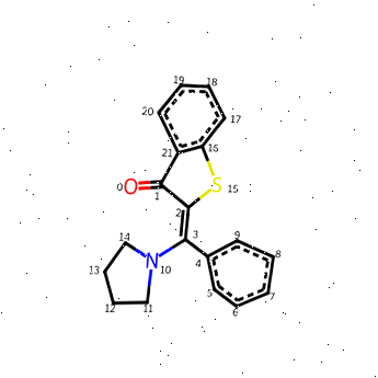 O=C1C(=C(c2ccccc2)N2CCCC2)Sc2ccccc21